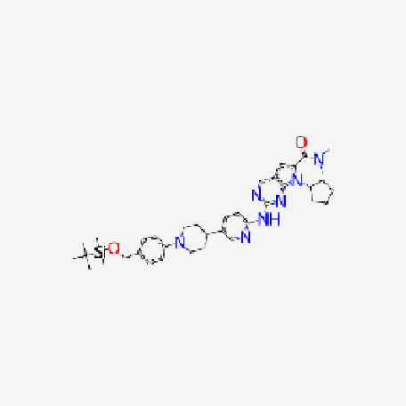 CN(C)C(=O)c1cc2cnc(Nc3ccc(C4CCN(c5ccc(CO[Si](C)(C)C(C)(C)C)cc5)CC4)cn3)nc2n1C1CCCC1